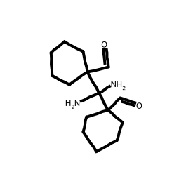 NC(N)(C1(C=O)CCCCC1)C1(C=O)CCCCC1